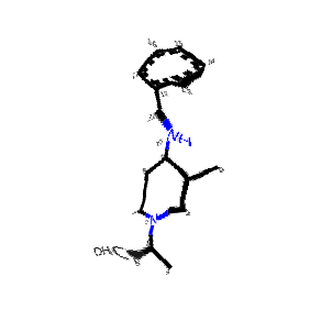 CC1CN(C(C)C=O)CCC1NCc1ccccc1